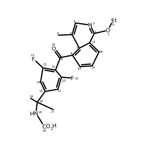 CCOc1ncc(C)c2c(C(=O)c3c(F)cc(C(C)(C)NC(=O)O)cc3F)cccc12